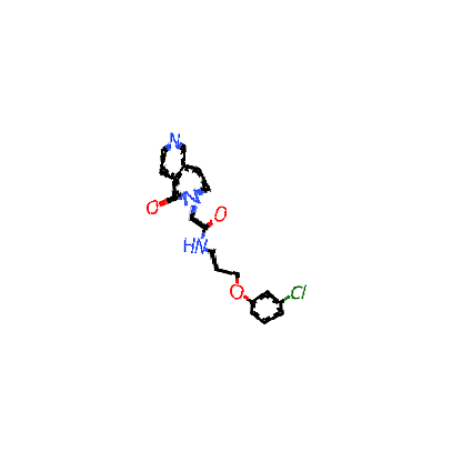 O=C(Cn1ccc2cnccc2c1=O)NCCCOc1cccc(Cl)c1